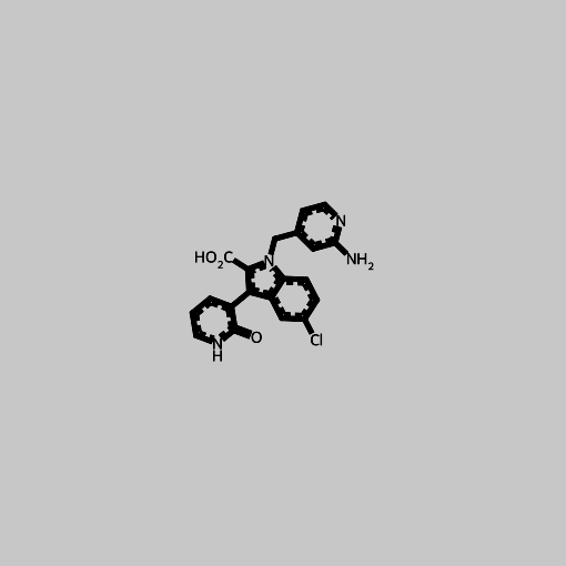 Nc1cc(Cn2c(C(=O)O)c(-c3ccc[nH]c3=O)c3cc(Cl)ccc32)ccn1